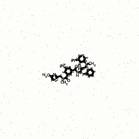 Cc1csc(CN(C)C(=O)c2cc(C(=O)N[C@@H](Cc3ccccc3)[C@H](O)CN(C)c3cncc(C(C)C)c3)cc(C(C)C)c2)n1